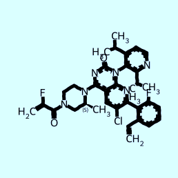 C=Cc1cccc(F)c1-c1nc2c(cc1Cl)c(N1CCN(C(=O)C(=C)F)C[C@@H]1C)nc(=O)n2-c1c(C(C)C)ccnc1C(C)C